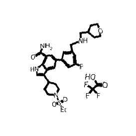 CCS(=O)(=O)N1CCC(c2c[nH]c3c(C(N)=O)cc(-c4cc(F)cc(CNCC5CCOCC5)c4)cc23)CC1.O=C(O)C(F)(F)F